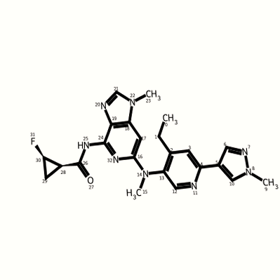 CCc1cc(-c2cnn(C)c2)ncc1N(C)c1cc2c(ncn2C)c(NC(=O)[C@H]2C[C@H]2F)n1